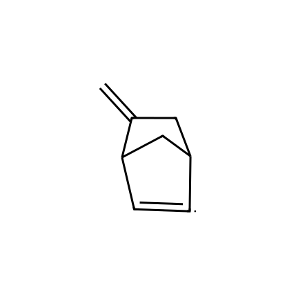 C=C1CC2[C]=CC1C2